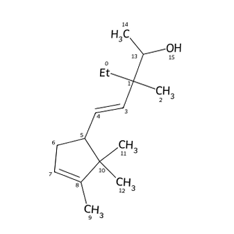 CCC(C)(/C=C/C1CC=C(C)C1(C)C)C(C)O